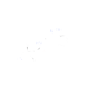 Cc1cccc2c(C(C)(C)NC(=O)[C@H]3[C@@H]4CNC[C@@H]43)n[nH]c12